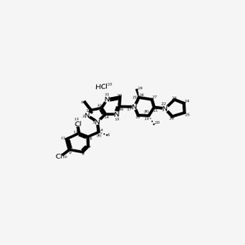 Cc1nn([C@H](C)c2ccc(Cl)cc2Cl)c2nc(N3C[C@@H](C)C(N4CCCC4)C[C@@H]3C)cnc12.Cl